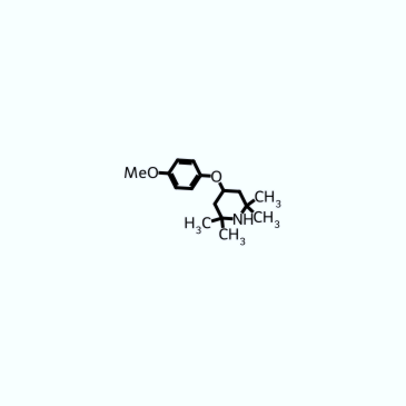 COc1ccc(OC2CC(C)(C)NC(C)(C)C2)cc1